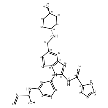 C=CC(O)Nc1cccc(-n2c(NC(=O)c3ccno3)nc3cc(CN[C@H]4CC[C@H](O)CC4)ccc32)c1